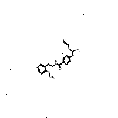 CCCS/C(N)=N\c1ccc(C(=O)NCCc2ccccc2OC)cc1